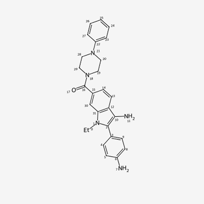 CCn1c(-c2ccc(N)cc2)c(N)c2ccc(C(=O)N3CCN(c4ccccc4)CC3)cc21